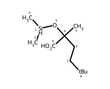 C[SiH](C)OC(C)(CCC(C)(C)C)C(=O)O